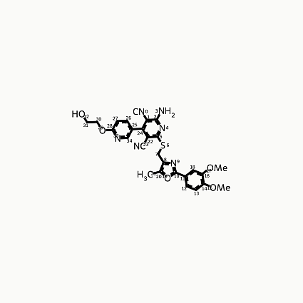 [C-]#[N+]c1c(N)nc(SCc2nc(-c3ccc(OC)c(OC)c3)oc2C)c(C#N)c1-c1ccc(OCCO)nc1